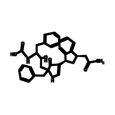 NC(=O)C[C@H]1C[C@@H](C2=CNC(Cc3ccccc3)(C[C@H](O)C(Cc3ccccc3)NC(=O)O)C2=O)c2ccccc21